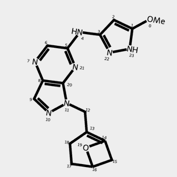 COc1cc(Nc2cnc3cnn(CC4=C5CC(CC4)O5)c3n2)n[nH]1